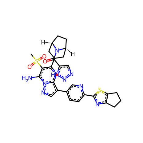 CS(=O)(=O)c1c(C2C[C@H]3CC[C@@H](C2)N3C(=O)c2cnn[nH]2)nc2c(-c3ccc(-c4nc5c(s4)CCC5)nc3)cnn2c1N